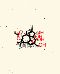 CC(=O)O[C@@]12CC(C)C34C=C(C)[C@H](O)[C@@]3(O)[C@H](O)C(CO)=C[C@H](C4=O)[C@@H]1C2(C)C